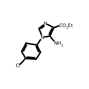 CCOC(=O)c1ncn(-c2ccc(Cl)cc2)c1N